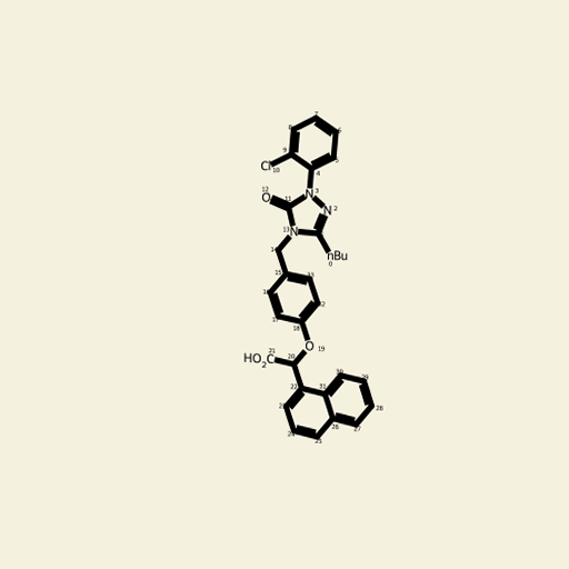 CCCCc1nn(-c2ccccc2Cl)c(=O)n1Cc1ccc(OC(C(=O)O)c2cccc3ccccc23)cc1